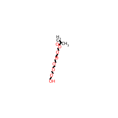 CCC(C)C(=O)OCCOCCOCCOCCOCCOCCO